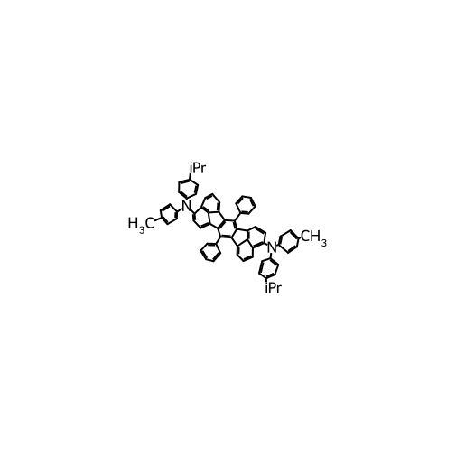 Cc1ccc(N(c2ccc(C(C)C)cc2)c2ccc3c4c(-c5ccccc5)c5c6cccc7c(N(c8ccc(C)cc8)c8ccc(C(C)C)cc8)ccc(c5c(-c5ccccc5)c4c4cccc2c43)c76)cc1